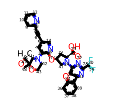 C[C@@H]1N(c2cc(C#Cc3ccccn3)cnc2O[C@H]2C[C@@H](C(=O)O)N(c3nc(C(F)F)nc4c3oc3ccccc34)C2)CCOC12COC2